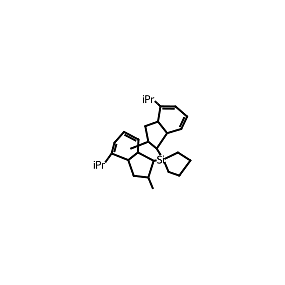 CC(C)C1=CC=CC2C1CC(C)C2[Si]1(C2C(C)CC3C(C(C)C)=CC=CC32)CCCC1